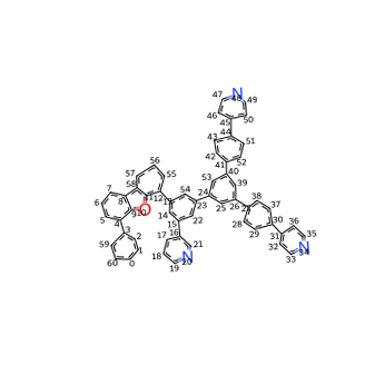 c1ccc(-c2cccc3c2oc2c(-c4cc(-c5cccnc5)cc(-c5cc(-c6ccc(-c7ccncc7)cc6)cc(-c6ccc(-c7ccncc7)cc6)c5)c4)cccc23)cc1